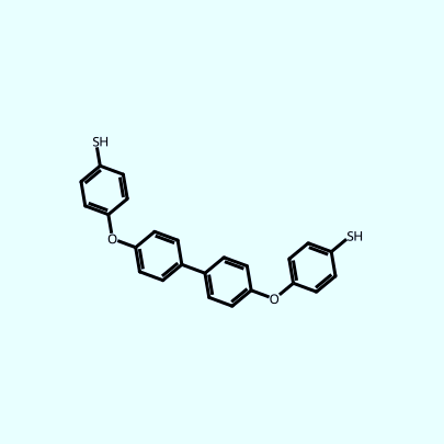 Sc1ccc(Oc2ccc(-c3ccc(Oc4ccc(S)cc4)cc3)cc2)cc1